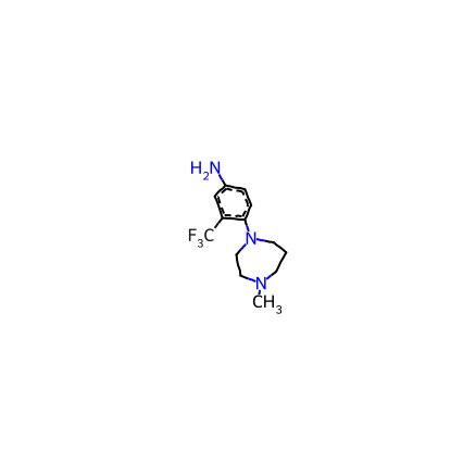 CN1CCCN(c2ccc(N)cc2C(F)(F)F)CC1